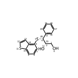 OC[C@H](O)[C@H](Sc1cccc2sccc12)c1ccccc1